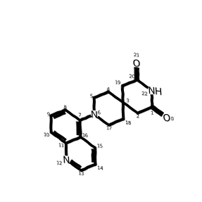 O=C1CC2(CCN(c3cccc4ncccc34)CC2)CC(=O)N1